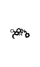 C/C=C\c1ccc2c(c1Cl)CC[C@@]1(C)CN(Cc3ccccc3)C[C@@H]21